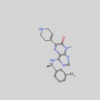 C[C@@H](Nc1ncnc2c1nc(C1=CCNCC1)c(=O)n2C)c1cccc(C(F)(F)F)c1